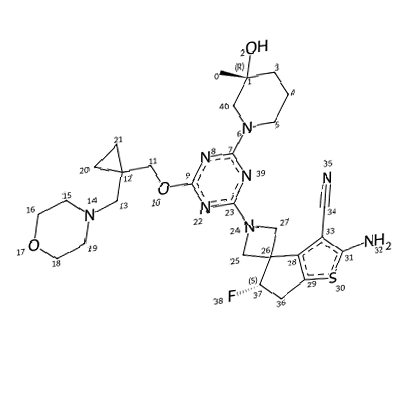 C[C@@]1(O)CCCN(c2nc(OCC3(CN4CCOCC4)CC3)nc(N3CC4(C3)c3c(sc(N)c3C#N)C[C@@H]4F)n2)C1